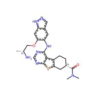 C[C@@H](N)COc1cc2[nH]ncc2cc1Nc1ncnc2sc3c(c12)CC[C@H](C(=O)N(C)C)C3